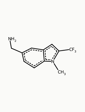 Cn1c(C(F)(F)F)cc2cc(CN)ccc21